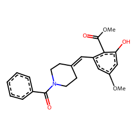 COC(=O)c1c(O)cc(OC)cc1C=C1CCN(C(=O)c2ccccc2)CC1